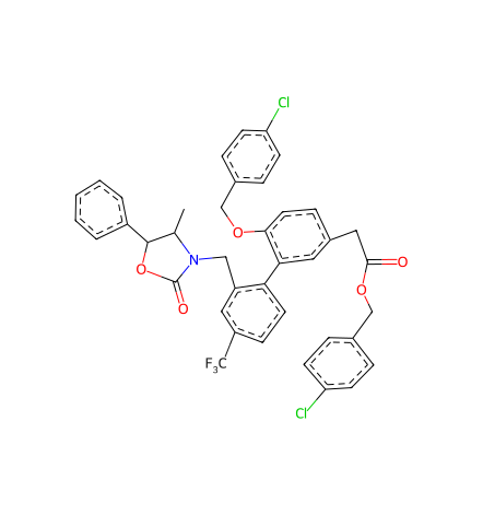 CC1C(c2ccccc2)OC(=O)N1Cc1cc(C(F)(F)F)ccc1-c1cc(CC(=O)OCc2ccc(Cl)cc2)ccc1OCc1ccc(Cl)cc1